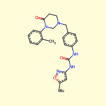 Cc1ccccc1N1CN(Cc2ccc(NC(=O)Nc3cc(C(C)(C)C)on3)cc2)CCC1=O